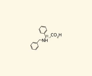 O=C(O)C[C@H](NCc1ccccc1)c1ccccc1